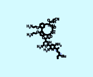 C=C/C(=C\C=C(/C)c1nc(N)c(C(=O)N[C@@H](CCN)C(=O)N(C)[C@@H]2C(=O)N[C@@H](C)C(=O)N[C@H](C(=O)NCC#N)Cc3ccc(OCCN)c(c3)-c3cc2ccc3OCCN)cc1N)C(C)(C)C